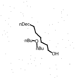 CCCCCCCCCCCCCCCCO.CCCCOCCCC